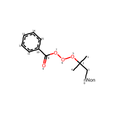 CCCCCCCCCCC(C)(C)OOOC(=O)c1ccccc1